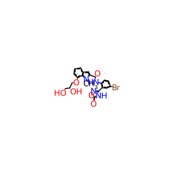 Cn1c(C(=O)Nc2ccc(Br)cc2-c2noc(=O)[nH]2)cc2cccc(OC[C@H](O)CO)c21